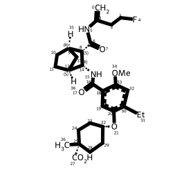 C=C(CCF)NC(=O)[C@H]1[C@@H]2CC[C@@H](C2)[C@H]1NC(=O)c1cc(O[C@H]2CC[C@@](C)(C(=O)O)CC2)c(CC)cc1OC